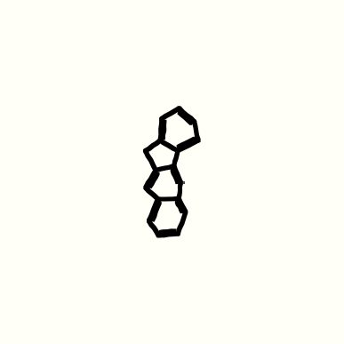 [c]1c2c(cc3ccccc13)Cc1ccccc1-2